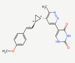 COc1ccc(/C=C/[C@H]2C[C@@H]2c2cc(-c3c[nH]c(=O)[nH]c3=O)nnc2C)cc1